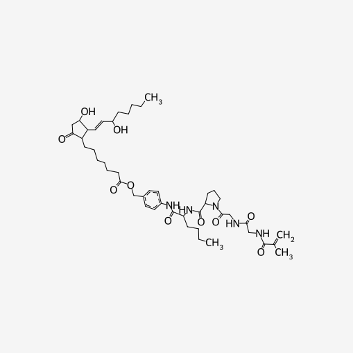 C=C(C)C(=O)NCC(=O)NCC(=O)N1CCCC1C(=O)NC(CCCC)C(=O)Nc1ccc(COC(=O)CCCCCCC2C(=O)CC(O)C2/C=C/C(O)CCCCC)cc1